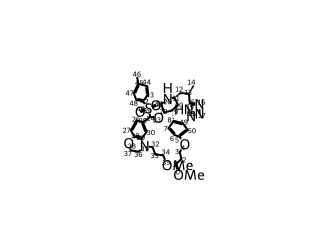 COCCCOc1ccc([C@H]2C[C@H](C[C@@H](C)c3nnn[nH]3)NC[C@@H]2OC(c2ccc3c(c2)N(CCCOC)CCO3)S(=O)(=O)c2ccc(C)cc2)cc1